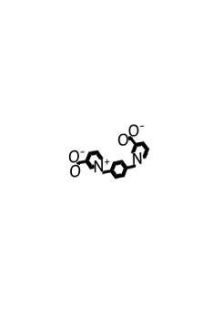 O=C([O-])c1ccc[n+](Cc2ccc(C[n+]3cccc(C(=O)[O-])c3)cc2)c1